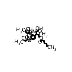 CCCCCC(=O)OCC(C)C(c1ccc(OC(=O)CC(C)C)c(OC(=O)CC(C)C)c1)[C@H](N)C(=O)O